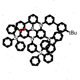 CC(C)(C)c1ccc(-c2cccc(N3c4cccc(-c5ccccc5)c4B4c5ccc([Si](c6ccccc6)(c6ccccc6)c6ccccc6)cc5N(c5cccc([Si](c6ccccc6)(c6ccccc6)c6ccccc6)c5)c5cc(-n6c7ccccc7c7ccccc76)cc3c54)c2)cc1